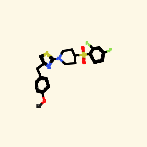 CCOc1ccc(Cc2csc(N3CCC(S(=O)(=O)c4ccc(F)cc4F)CC3)n2)cc1